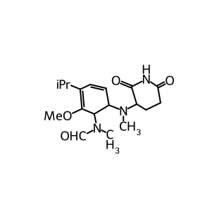 COC1=C(C(C)C)C=CC(N(C)C2CCC(=O)NC2=O)C1N(C)C=O